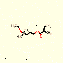 CCO[Si](C)(C)CCCOC(=O)C(C)CC